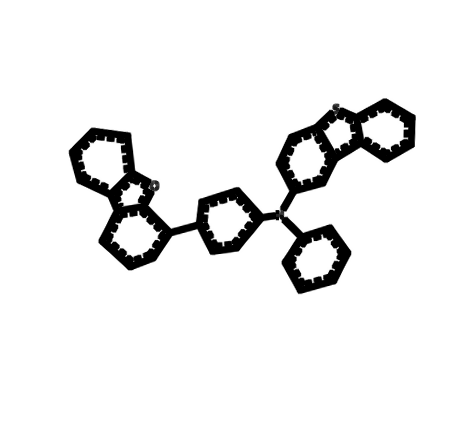 c1ccc(N(c2ccc(-c3cccc4c3oc3ccccc34)cc2)c2ccc3sc4ccccc4c3c2)cc1